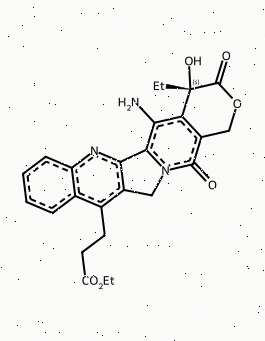 CCOC(=O)CCc1c2c(nc3ccccc13)-c1c(N)c3c(c(=O)n1C2)COC(=O)[C@]3(O)CC